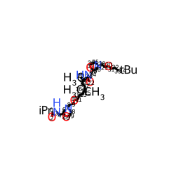 CC(C)C(=O)NCC1CN(CCOCCCC(C)(C)CCC(C)C(=O)NC[C@@H]2CN(CCOCCCC(C)(C)C)CCO2)CCO1